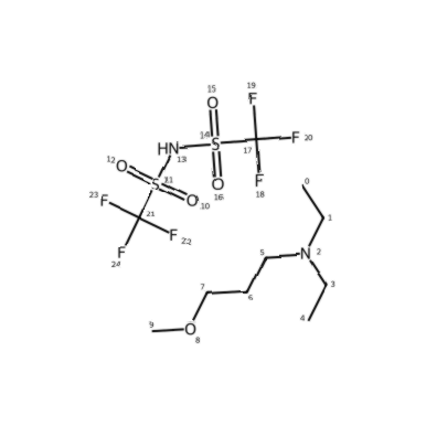 CCN(CC)CCCOC.O=S(=O)(NS(=O)(=O)C(F)(F)F)C(F)(F)F